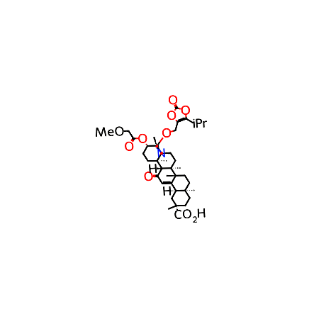 COCC(=O)O[C@H]1CC[C@]2(C)[C@H]3C(=O)C=C4[C@@H]5C[C@@](C)(C(=O)O)CC[C@]5(C)CC[C@@]4(C)[C@]3(C)CC[C@]23N=C(OCc2oc(=O)oc2C(C)C)[C@]13C